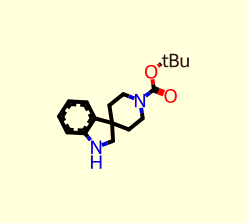 CC(C)(C)OC(=O)N1CCC2(CC1)CNc1ccccc12